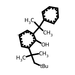 CC(C)(C)CC(C)(C)c1c[c]cc(C(C)(C)c2ccccc2)c1O